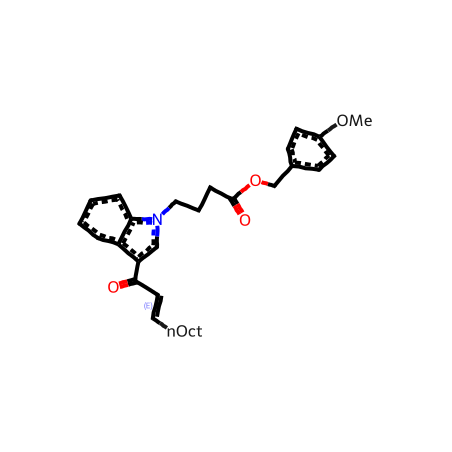 CCCCCCCC/C=C/C(=O)c1cn(CCCC(=O)OCc2ccc(OC)cc2)c2ccccc12